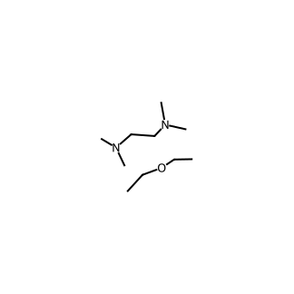 CCOCC.CN(C)CCN(C)C